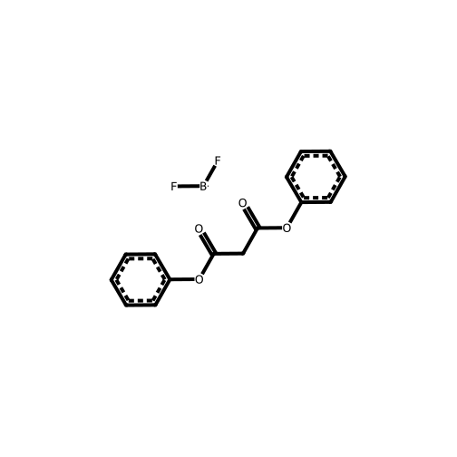 F[B]F.O=C(CC(=O)Oc1ccccc1)Oc1ccccc1